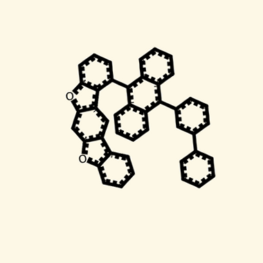 c1ccc(-c2cccc(-c3c4ccccc4c(-c4cccc5oc6cc7oc8ccccc8c7cc6c45)c4ccccc34)c2)cc1